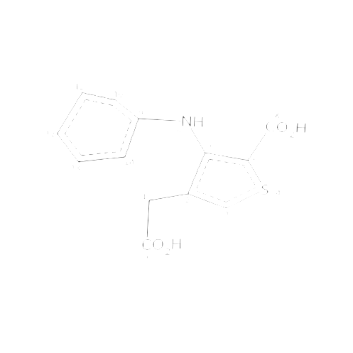 O=C(O)Cc1csc(C(=O)O)c1Nc1ccccc1